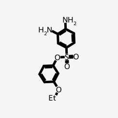 CCOc1cccc(OS(=O)(=O)c2ccc(N)c(N)c2)c1